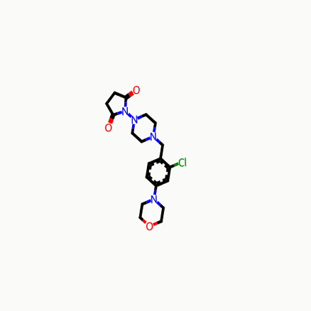 O=C1CCC(=O)N1N1CCN(Cc2ccc(N3CCOCC3)cc2Cl)CC1